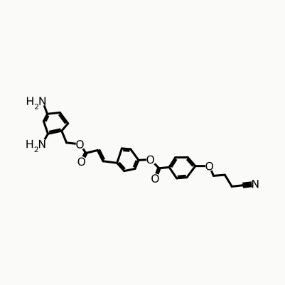 N#CCCCOc1ccc(C(=O)Oc2ccc(/C=C/C(=O)OCc3ccc(N)cc3N)cc2)cc1